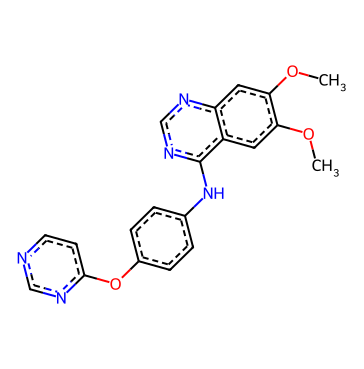 COc1cc2ncnc(Nc3ccc(Oc4ccncn4)cc3)c2cc1OC